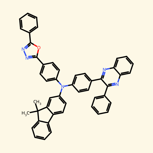 CC1(C)c2ccccc2-c2ccc(N(c3ccc(-c4nnc(-c5ccccc5)o4)cc3)c3ccc(-c4nc5ccccc5nc4-c4ccccc4)cc3)cc21